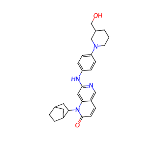 O=c1ccc2cnc(Nc3ccc(N4CCCC(CO)C4)cc3)cc2n1C1CC2CCC1C2